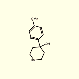 COc1ccc(C2(O)CCNCC2)nc1